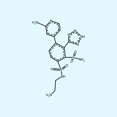 NCCNS(=O)(=O)c1ccc(-c2ccnc(N)c2)c(-c2nn[nH]n2)c1S(N)(=O)=O